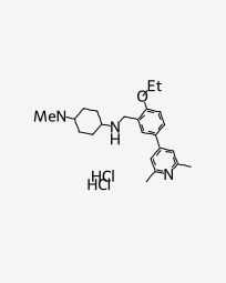 CCOc1ccc(-c2cc(C)nc(C)c2)cc1CNC1CCC(NC)CC1.Cl.Cl